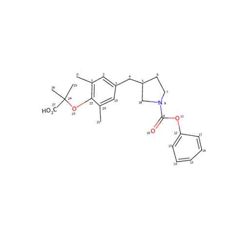 Cc1cc(CC2CCN(C(=O)Oc3ccccc3)C2)cc(C)c1OC(C)(C)C(=O)O